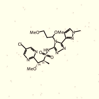 COCCC(OC)n1c(NS(=O)(=O)[C@@H](C)[C@H](OC)c2ncc(Cl)cn2)nnc1-c1ccn(C)n1